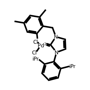 Cc1cc(C)c(Cn2ccn(-c3c(C(C)C)cccc3C(C)C)[c]2=[Pd-2]([Cl])[Cl])c(C)c1